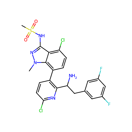 Cn1nc(NS(C)(=O)=O)c2c(Cl)ccc(-c3ccc(Cl)nc3C(N)Cc3cc(F)cc(F)c3)c21